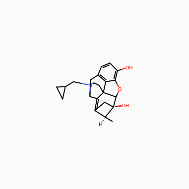 C[C@H]1C2=C3C4Cc5ccc(O)c6c5C3(CCN4CC3CC3)C(O6)[C@@]1(O)C2